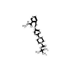 CNC(=O)c1cnccc1COc1cnc(N2CCN(C(=O)OC(C)(C)C)CC2)nc1